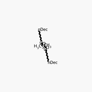 CCCCCCCCCCCCCCCCCCOC(=O)[C@H](C)S[C@@H](C)C(=O)OCCCCCCCCCCCCCCCCCC